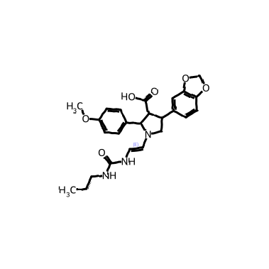 CCCNC(=O)N/C=C/N1CC(c2ccc3c(c2)OCO3)C(C(=O)O)C1c1ccc(OC)cc1